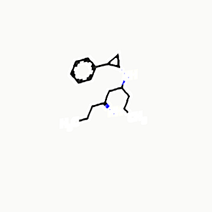 CCCC(=N)CC(CCC)N[C@H]1CC1c1ccccc1